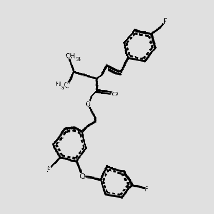 CC(C)C(C=Cc1ccc(F)cc1)C(=O)OCc1ccc(F)c(Oc2ccc(F)cc2)c1